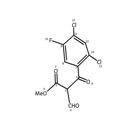 COC(=O)C(C=O)C(=O)c1cc(F)c(Cl)cc1Cl